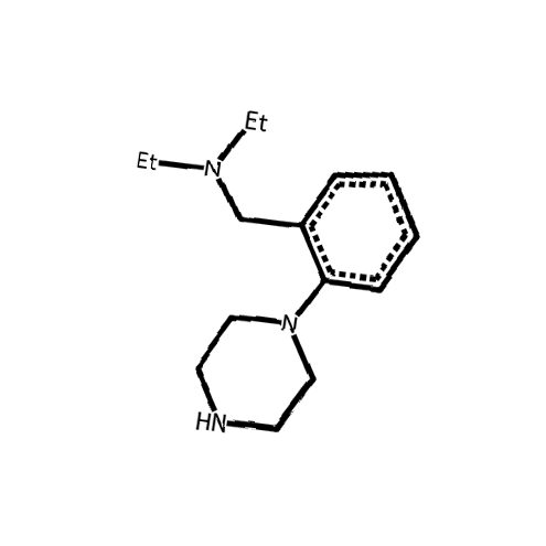 CCN(CC)Cc1ccccc1N1CCNCC1